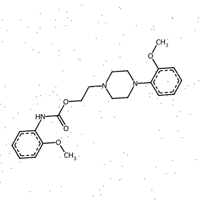 COc1ccccc1NC(=O)OCCN1CCN(c2ccccc2OC)CC1